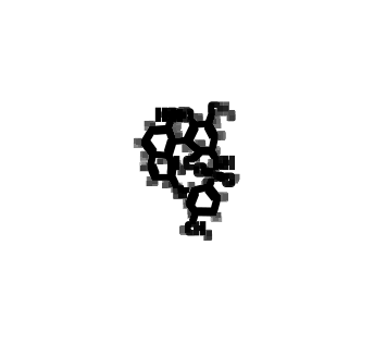 Cc1ccc(S(=O)(=O)Nc2cc(C)c(O)c(-c3c(O)ccc4ccc(Br)cc34)c2C)cc1